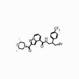 CC(C)CC(CNC(=O)c1cccn2nc(C(=O)N3C[C@@H](C)O[C@@H](C)C3)cc12)c1ccc(C(F)(F)F)cc1